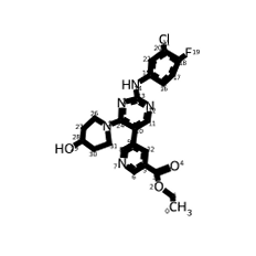 CCOC(=O)c1cncc(-c2cnc(Nc3ccc(F)c(Cl)c3)nc2N2CCC(O)CC2)c1